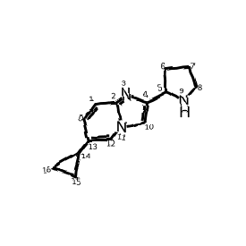 c1cc2nc(C3CCCN3)cn2cc1C1CC1